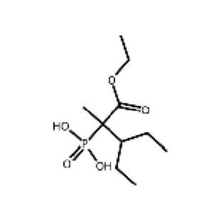 CCOC(=O)C(C)(C(CC)CC)P(=O)(O)O